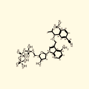 CC(C)[C@H](OCc1cn([C@H]2CC(O)[C@@H](COP(=O)(O)OP(=O)(O)OP(=O)(O)O)O2)c2nccc(N)c12)c1cc(C#N)ccc1[N+](=O)[O-]